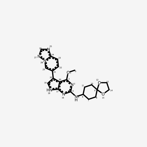 COc1nc(NC2CCC3(CC2)OCCO3)nc2[nH]cc(-c3ccc4ncnn4c3)c12